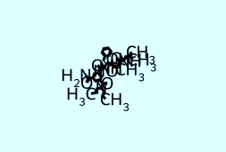 CCCN(CCC)C(=O)c1cc(C(N)=O)cc(C(=O)N[C@@H](Cc2ccccc2)[C@@H](O)[C@H](O)[C@@H](C)C(=O)NCC(C)C)c1